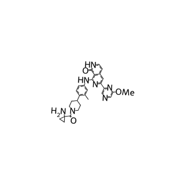 COc1cncc(-c2cc3cc[nH]c(=O)c3c(Nc3ccc(C4CCN(C(=O)C5(N)CC5)CC4)c(C)c3)n2)n1